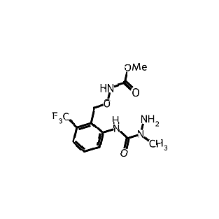 COC(=O)NOCc1c(NC(=O)N(C)N)cccc1C(F)(F)F